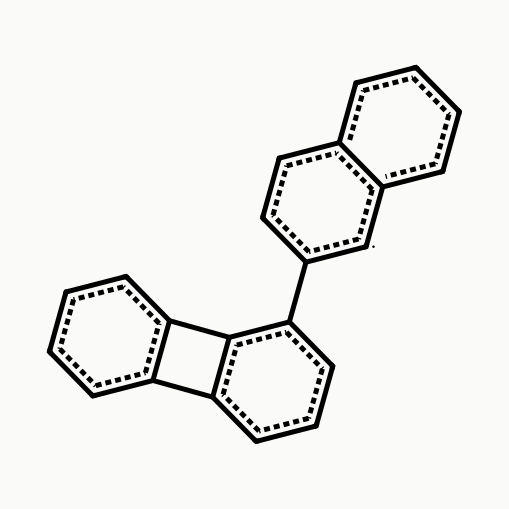 [c]1c(-c2cccc3c2-c2ccccc2-3)ccc2ccccc12